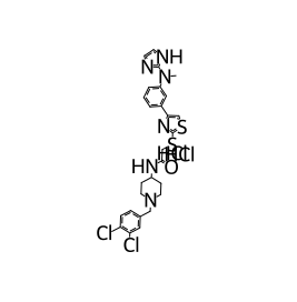 CN(c1cccc(-c2csc(SCC(=O)NC3CCN(Cc4ccc(Cl)c(Cl)c4)CC3)n2)c1)c1ncc[nH]1.Cl.Cl